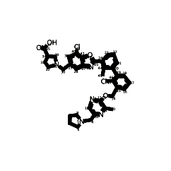 Cc1nc(CN2CCCC2)cnc1OCc1cccc(-c2cccc(-c3nc4cc(CN5CCC(C(=O)O)C5)cc(Cl)c4o3)c2C)c1Cl